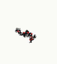 C=Cc1cnc2c(Nc3cccc(-c4cccc(-c5ccc(CN(C)CC6CCC(C(=O)O)CC6)c(OC)n5)c4Cl)c3Cl)nc(C(F)F)nc2c1